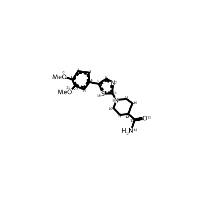 COc1ccc(-c2cnc(N3CCC(C(N)=O)CC3)s2)cc1OC